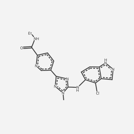 CCNC(=O)c1ccc(-c2nc(Nc3ccc4[nH]ncc4c3Cl)n(C)n2)cn1